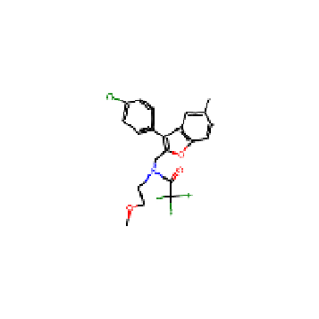 COCCN(Cc1oc2ccc(C)cc2c1-c1ccc(Cl)cc1)C(=O)C(F)(F)F